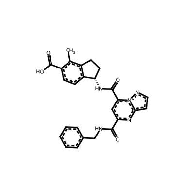 Cc1c(C(=O)O)ccc2c1CC[C@@H]2NC(=O)c1cc(C(=O)NCc2ccccc2)nc2ccnn12